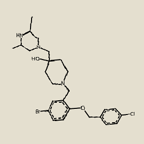 CC1CN(CC2(O)CCN(Cc3cc(Br)ccc3OCc3ccc(Cl)cc3)CC2)CC(C)N1